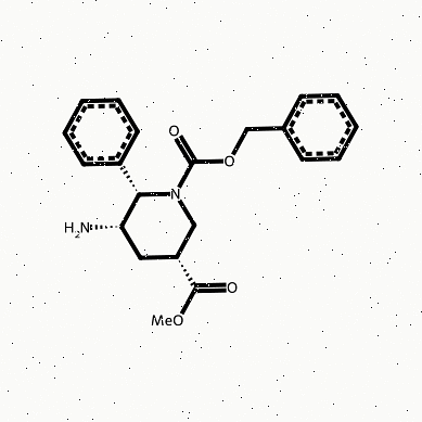 COC(=O)[C@@H]1C[C@H](N)[C@H](c2ccccc2)N(C(=O)OCc2ccccc2)C1